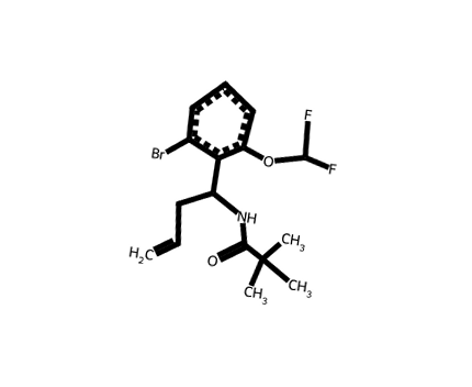 C=CCC(NC(=O)C(C)(C)C)c1c(Br)cccc1OC(F)F